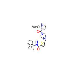 COc1ncccc1C(=O)N1CCN(Cc2ccc(C(=O)NCc3ccccc3C(F)(F)F)s2)CC1